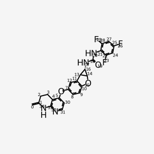 C=C1CCc2c(Oc3ccc4c(c3)C3C(O4)[C@H]3NC(=O)Nc3c(F)cc(F)cc3F)ccnc2N1